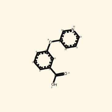 O=C(O)c1cccc(Oc2cccnc2)c1